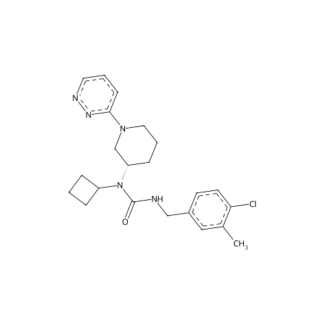 Cc1cc(CNC(=O)N(C2CCC2)[C@H]2CCCN(c3cccnn3)C2)ccc1Cl